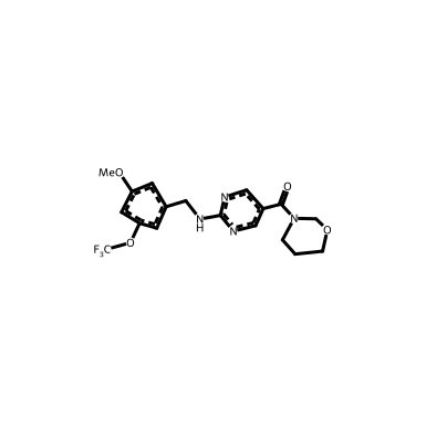 COc1cc(CNc2ncc(C(=O)N3CCCOC3)cn2)cc(OC(F)(F)F)c1